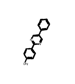 Oc1ccc(-c2ncc(-c3ccccc3)cn2)cc1